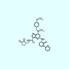 COc1ccc(CN(C)c2cc(Nc3cccn(-c4ccccn4)c3=O)nn3c(C(=O)NCC4CCC(=O)N4)cnc23)cc1